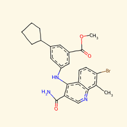 COC(=O)c1cc(Nc2c(C(N)=O)cnc3c(C)c(Br)ccc23)cc(C2CCCC2)c1